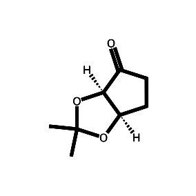 CC1(C)O[C@@H]2CCC(=O)[C@@H]2O1